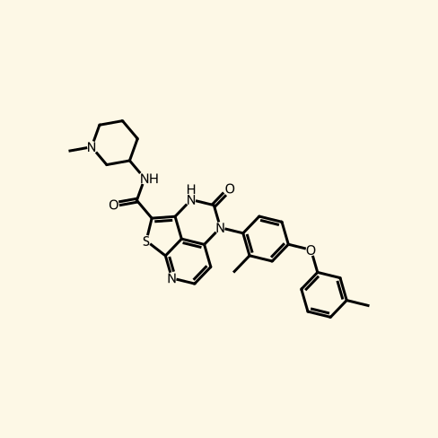 Cc1cccc(Oc2ccc(N3C(=O)Nc4c(C(=O)NC5CCCN(C)C5)sc5nccc3c45)c(C)c2)c1